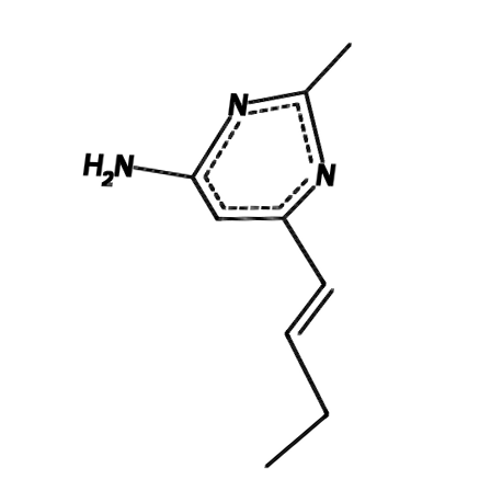 CCC=Cc1cc(N)nc(C)n1